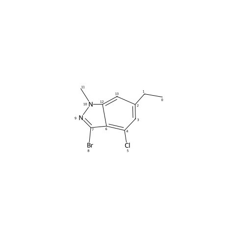 CCc1cc(Cl)c2c(Br)nn(C)c2c1